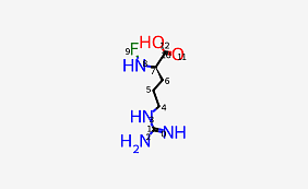 N=C(N)NCCC[C@@H](NF)C(=O)O